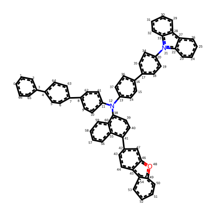 c1ccc(-c2ccc(-c3ccc(N(c4ccc(-c5ccc(-n6c7ccccc7c7ccccc76)cc5)cc4)c4ccc(-c5ccc6c(c5)oc5ccccc56)c5ccccc45)cc3)cc2)cc1